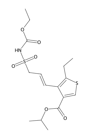 CCOC(=O)NS(=O)(=O)CC=Cc1c(C(=O)OC(C)C)csc1CC